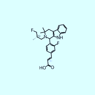 C[C@H](CF)CN1C(c2ccc(/C=C/C(=O)O)cc2F)c2[nH]c3ccccc3c2CC1(C)C